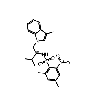 Cc1cc(C)c(S(=O)(=O)N[C@H](Cn2cc(C)c3ccccc32)C(C)C)c([N+](=O)[O-])c1